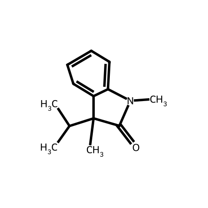 CC(C)C1(C)C(=O)N(C)c2ccccc21